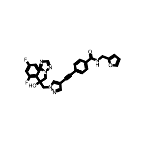 O=C(NCc1ccco1)c1ccc(C#Cc2cnn(CC(O)(Cn3cncn3)c3ccc(F)cc3F)c2)cc1